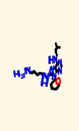 CC(C)=CCNc1ncnc2c1nc(NCCCCN)n2C1CCCCO1